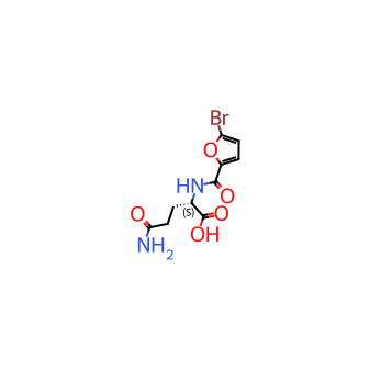 NC(=O)CC[C@H](NC(=O)c1ccc(Br)o1)C(=O)O